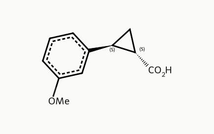 COc1cccc([C@H]2C[C@@H]2C(=O)O)c1